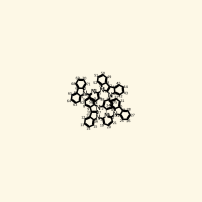 c1cc(-n2c3ccccc3c3c4ccccc4n(-c4cccc(-n5c6ccccc6c6ccccc65)n4)c32)cc(-n2c3ccccc3c3c4ccccc4n(-c4cccc(-n5c6ccccc6c6ccccc65)n4)c32)c1